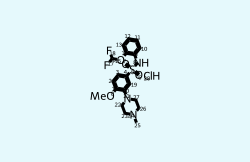 COc1ccc(S(=O)(=O)Nc2ccccc2OC(F)F)cc1N1CCN(C)CC1.Cl